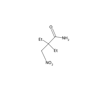 CCC(CC)(C[N+](=O)[O-])C(N)=O